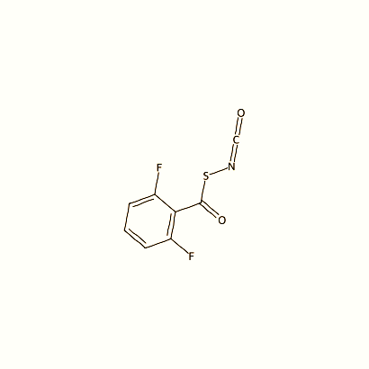 O=C=NSC(=O)c1c(F)cccc1F